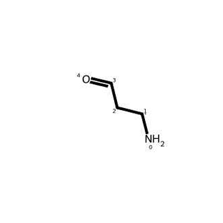 N[CH]CC=O